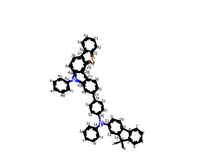 CC1(C)c2ccccc2-c2ccc(N(c3ccccc3)c3ccc(-c4ccc5c6c7sc8ccccc8c7ccc6n(-c6ccccc6)c5c4)cc3)cc21